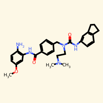 COc1ccc(N)c(NC(=O)c2ccc(CN(CCN(C)C)C(=O)Nc3ccc4c(c3)CCC4)cc2)c1